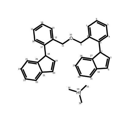 C1=CC(c2ccccc2COCc2ccccc2C2C=Cc3ccccc32)c2ccccc21.[CH3][Hf]([CH3])[CH3]